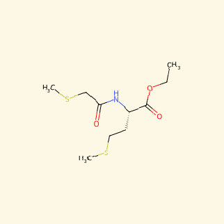 CCOC(=O)[C@H](CCSC)NC(=O)CSC